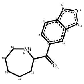 O=C(c1ccc2nonc2c1)C1CCCCCN1